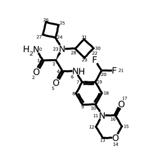 NC(=O)[C@H](C(=O)Nc1ccc(N2CCOCC2=O)cc1C(F)F)N(C1CCC1)C1CCC1